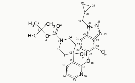 CC(C)(C)OC(=O)N1CCC(O)(c2cccnc2Oc2ccc3c(nnn3CC3CC3)c2Cl)CC1